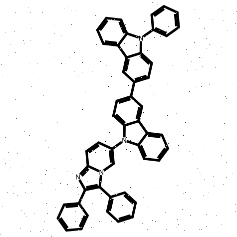 c1ccc(-c2nc3ccc(-n4c5ccccc5c5cc(-c6ccc7c(c6)c6ccccc6n7-c6ccccc6)ccc54)cn3c2-c2ccccc2)cc1